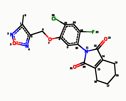 Cc1nonc1COc1cc(N2C(=O)C3=C(CCCC3)C2=O)c(F)cc1Cl